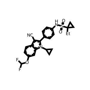 CCC1(S(=O)(=O)Nc2ccc(-c3c(C#N)c4ccc(OC(F)F)cc4n3C3CC3)cc2)CC1